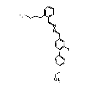 CCCCc1ccccc1C=NN=Cc1ccc(-c2ccc(CCC)cc2)c(F)c1